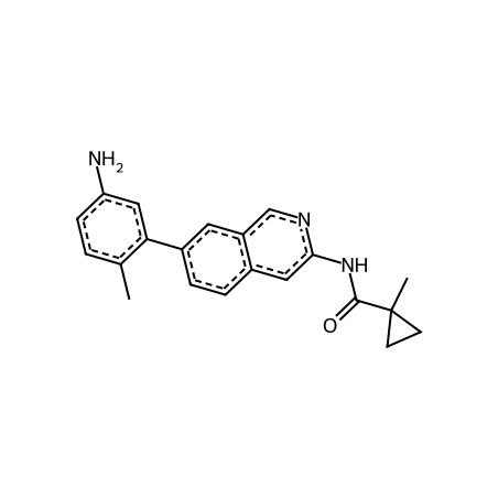 Cc1ccc(N)cc1-c1ccc2cc(NC(=O)C3(C)CC3)ncc2c1